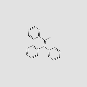 CC(=C(c1ccccc1)c1ccccc1)c1ccccc1